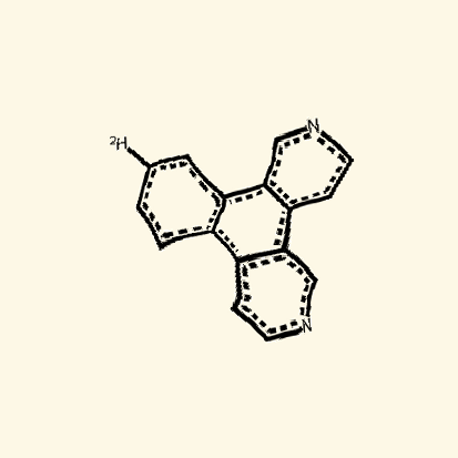 [2H]c1ccc2c3ccncc3c3ccncc3c2c1